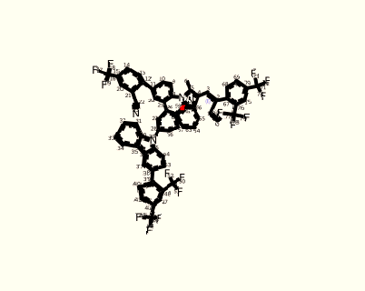 C=C/C(=C\c1c(C)n(-c2ccc(-c3ccc(C(F)(F)F)cc3C#N)cc2-c2cc(-n3c4ccccc4c4cc(-c5ccc(C(F)(F)F)cc5C(F)(F)F)ccc43)ccc2C#N)c2ccccc12)c1ccc(C(F)(F)F)cc1C(F)(F)F